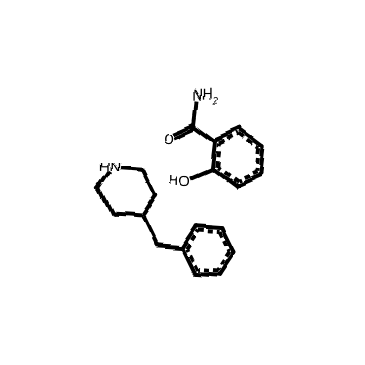 NC(=O)c1ccccc1O.c1ccc(CC2CCNCC2)cc1